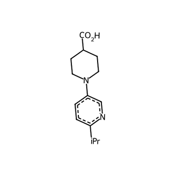 CC(C)c1ccc(N2CCC(C(=O)O)CC2)cn1